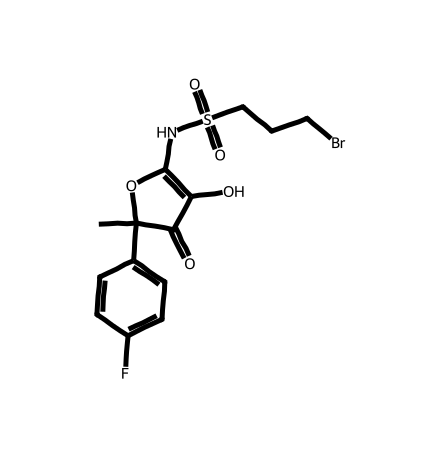 CC1(c2ccc(F)cc2)OC(NS(=O)(=O)CCCBr)=C(O)C1=O